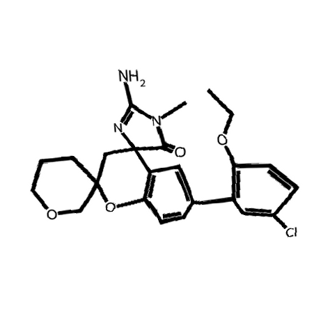 CCOc1ccc(Cl)cc1-c1ccc2c(c1)C1(CC3(CCCOC3)O2)N=C(N)N(C)C1=O